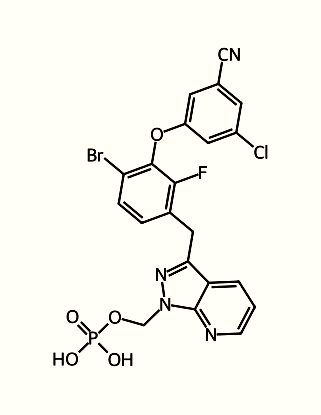 N#Cc1cc(Cl)cc(Oc2c(Br)ccc(Cc3nn(COP(=O)(O)O)c4ncccc34)c2F)c1